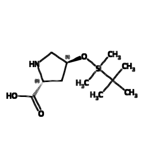 CC(C)(C)[Si](C)(C)O[C@@H]1CN[C@@H](C(=O)O)C1